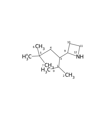 CC(C)C(CC(C)(C)C)C1CCN1